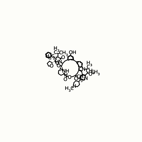 CCn1c(-c2cc(C3CCN(C)CC3)cnc2[C@H](C)OC)c2c3cc(ccc31)-c1cc(O)cc(c1)C[C@H](NC(=O)C(C(C)C)N(C)C(=O)[C@@H]1OCC[C@@H]1c1ccccc1)C(=O)N1CCC[C@H](N1)C(=O)OCC(C)(C)C2